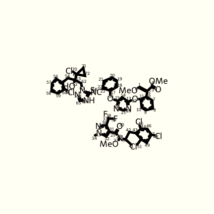 CO/C=C(/C(=O)OC)c1ccccc1Oc1cc(Oc2ccccc2C#N)ncn1.CON(C(=O)c1cn(C)nc1C(F)F)C(C)Cc1c(Cl)cc(Cl)cc1Cl.OC(Cc1ccccc1Cl)(Cn1nc[nH]c1=S)C1(Cl)CC1